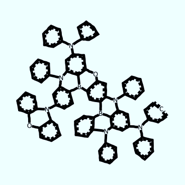 c1ccc(N(c2ccccc2)c2cc3c4c(c2)N(c2ccccc2)c2cc(N5c6ccccc6Oc6ccccc65)ccc2B4c2cc4c(cc2O3)N(c2ccccc2)c2cc(N(c3ccccc3)c3ccccc3)cc3c2B4c2ccccc2N3c2ccccc2)cc1